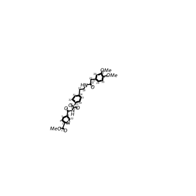 COC(=O)c1ccc(C(=O)NS(=O)(=O)c2ccc(CCNC(=O)Cc3ccc(OC)c(OC)c3)cc2)cn1